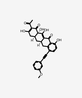 COc1cccc(C#Cc2ccc(O)c3c2C[C@H]2C[C@H]4CC(O)=C(C(C)=O)C(=O)[C@@]4(O)C(O)=C2C3=O)c1